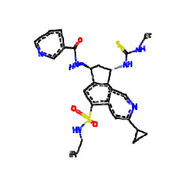 CCNC(=S)N[C@H]1C[C@H](NC(=O)c2cccnc2)c2cc(S(=O)(=O)NCC(C)C)c3cc(C4CC4)ncc3c21